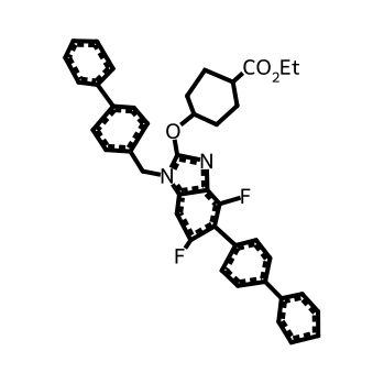 CCOC(=O)C1CCC(Oc2nc3c(F)c(-c4ccc(-c5ccccc5)cc4)c(F)cc3n2Cc2ccc(-c3ccccc3)cc2)CC1